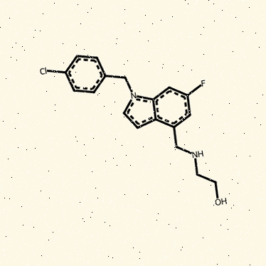 OCCNCc1cc(F)cc2c1ccn2Cc1ccc(Cl)cc1